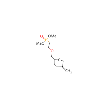 C=C1CCC(COCCP(=O)(OC)OC)CC1